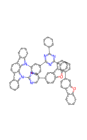 c1ccc(-c2nc(-c3cccc(-c4ccc5c(c4)oc4ccccc45)c3)nc(-c3cccc(-n4c5ccccc5c5ccc6c7ccccc7n(-c7ncc(-c8ccc9oc%10ccccc%10c9c8)cn7)c6c54)c3)n2)cc1